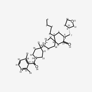 CCCCC1CN(C[C@@H]2CCOC2)C(=O)CC12CCN(C1(C)CCN(C(=O)c3c(C)ccnc3C)CC1)CC2